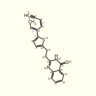 C#C/C=C\C(=C/C)c1ccc(CCc2nc3ccccc3c(=O)[nH]2)s1